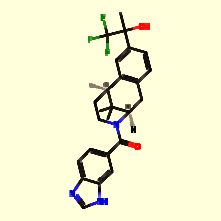 CC(O)(c1ccc2c(c1)[C@]1(C)CCN(C(=O)c3ccc4nc[nH]c4c3)[C@H](C2)C1(C)C)C(F)(F)F